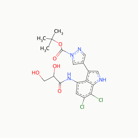 CC(C)(C)OC(=O)n1cc(-c2c[nH]c3c(Cl)c(Cl)cc(NC(=O)C(O)CO)c23)cn1